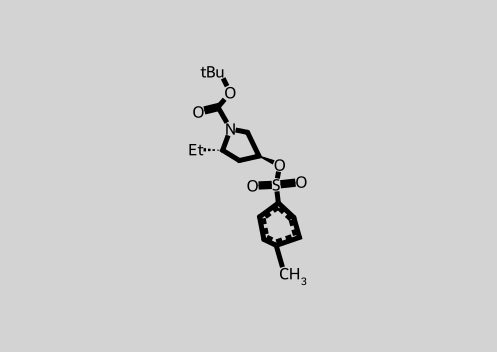 CC[C@H]1C[C@H](OS(=O)(=O)c2ccc(C)cc2)CN1C(=O)OC(C)(C)C